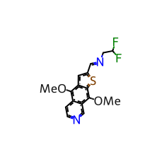 COc1c2ccncc2c(OC)c2sc(/C=N/CC(F)F)cc12